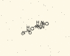 O=C(NCCN1CCCC1)c1ccc(C=NNc2ncnc3c2cnn3-c2ccccc2)cc1